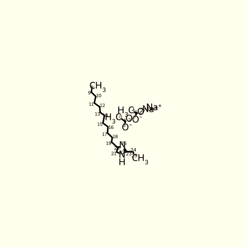 CC(=O)[O-].CC(=O)[O-].CCCCCCCCCCCCC1CNC(CC)=N1.[Na+].[Na+]